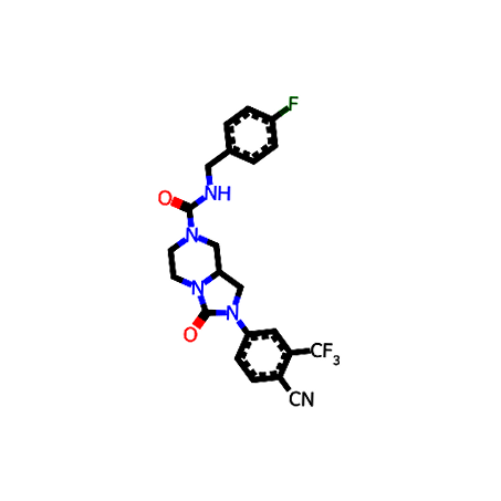 N#Cc1ccc(N2CC3CN(C(=O)NCc4ccc(F)cc4)CCN3C2=O)cc1C(F)(F)F